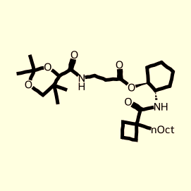 CCCCCCCCC1(C(=O)N[C@H]2CCCC[C@@H]2OC(=O)CCNC(=O)C2OC(C)(C)OCC2(C)C)CCC1